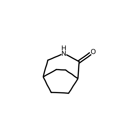 O=C1NCC2CCC1CC2